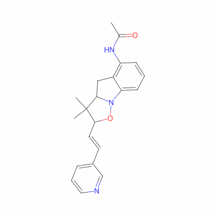 CC(=O)Nc1cccc2c1CC1N2OC(C=Cc2cccnc2)C1(C)C